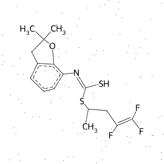 CC(CC(F)=C(F)F)SC(S)=Nc1cccc2c1OC(C)(C)C2